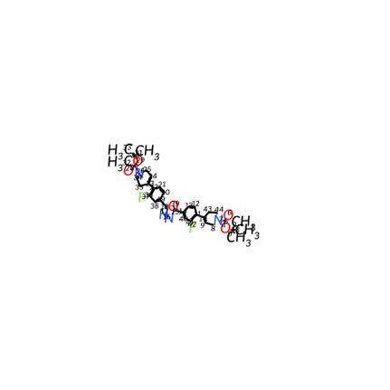 CC(C)(C)OC(=O)N1CC=C(c2ccc(-c3nnc(-c4ccc(C5=CCN(C(=O)OC(C)(C)C)CC5)c(F)c4)o3)cc2F)CC1